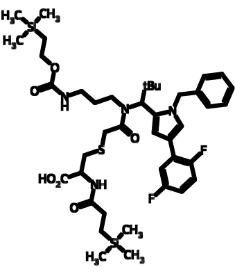 CC(C)(C)C(c1cc(-c2cc(F)ccc2F)cn1Cc1ccccc1)N(CCCNC(=O)OCC[Si](C)(C)C)C(=O)CSCC(NC(=O)CC[Si](C)(C)C)C(=O)O